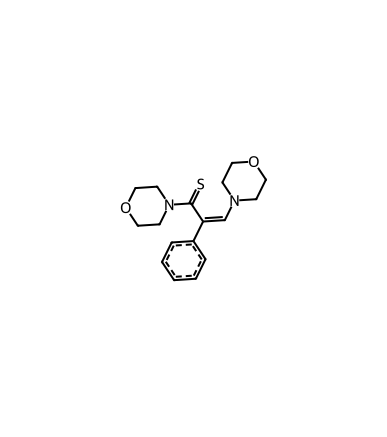 S=C(C(=CN1CCOCC1)c1ccccc1)N1CCOCC1